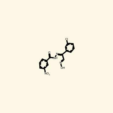 O=C(N/N=C(\C=N\O)c1cccc(Cl)c1)c1cccc([N+](=O)[O-])c1